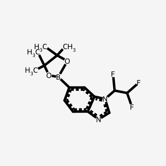 CC1(C)OB(c2ccc3ncn(C(F)C(F)F)c3c2)OC1(C)C